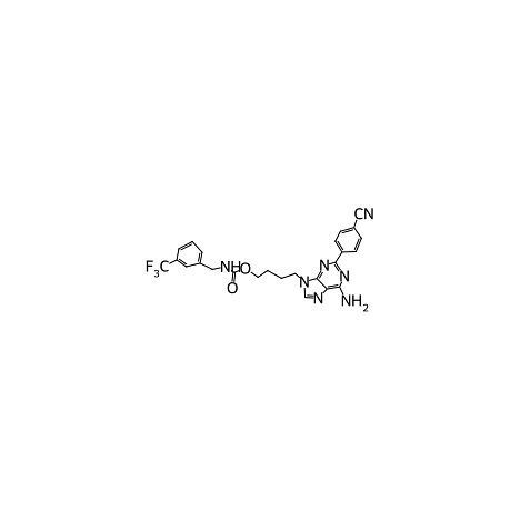 N#Cc1ccc(-c2nc(N)c3ncn(CCCCOC(=O)NCc4cccc(C(F)(F)F)c4)c3n2)cc1